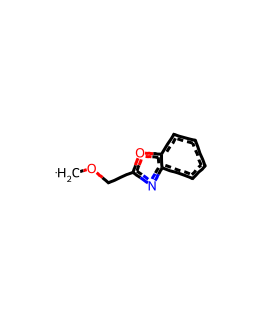 [CH2]OCc1nc2ccccc2o1